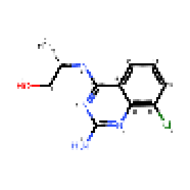 CCC[C@@H](CO)Nc1nc(N)nc2c(Cl)cccc12